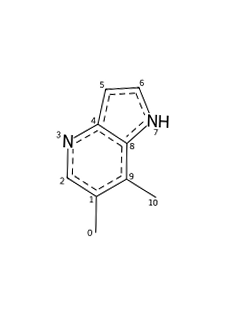 Cc1cnc2cc[nH]c2c1C